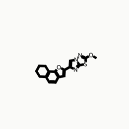 COc1nn2cc(-c3cc4ccc5c(c4o3)CCCC5)nc2s1